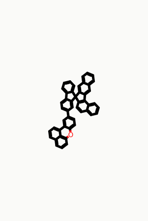 c1ccc2c(c1)-c1ccc(-c3ccc4c(c3)-c3cccc5cccc(c35)O4)cc1C21c2cc3ccccc3cc2-c2c1ccc1ccccc21